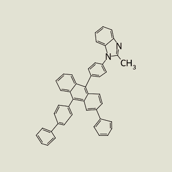 Cc1nc2ccccc2n1-c1ccc(-c2c3ccccc3c(-c3ccc(-c4ccccc4)cc3)c3cc(-c4ccccc4)ccc23)cc1